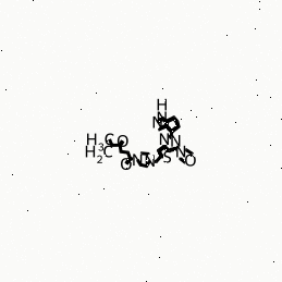 C=C(C)C(=O)CCC(=O)N1CCN(Cc2cc3nc(-c4cccc5[nH]ncc45)nc(N4CCOCC4)c3s2)CC1